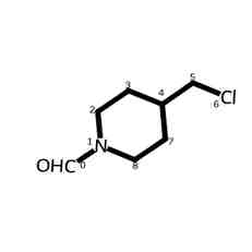 O=CN1CCC(CCl)CC1